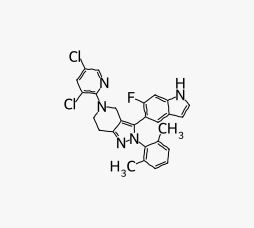 Cc1cccc(C)c1-n1nc2c(c1-c1cc3cc[nH]c3cc1F)CN(c1ncc(Cl)cc1Cl)CC2